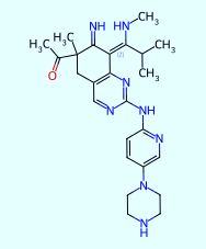 CN/C(=C1\C(=N)C(C)(C(C)=O)Cc2cnc(Nc3ccc(N4CCNCC4)cn3)nc21)C(C)C